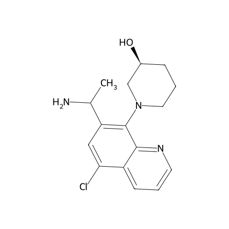 CC(N)c1cc(Cl)c2cccnc2c1N1CCC[C@H](O)C1